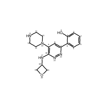 Oc1ccccc1-c1cc(N2CCNCC2)c(NC2COC2)nn1